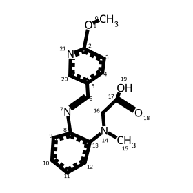 COc1ccc(C=Nc2ccccc2N(C)CC(=O)O)cn1